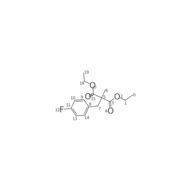 CCOC(=O)C(C)(Cc1ccc(F)cc1)C(=O)OCC